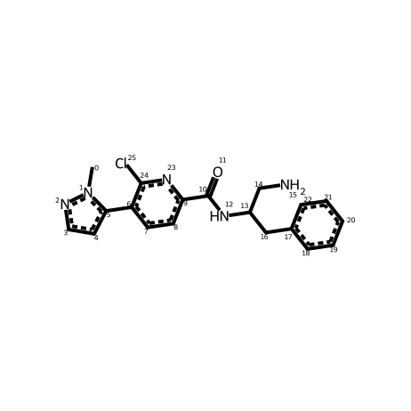 Cn1nccc1-c1ccc(C(=O)NC(CN)Cc2ccccc2)nc1Cl